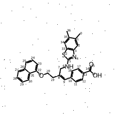 Cc1cc2nc(NCC(=Cc3ccc(C(=O)O)cc3)CCOc3cccc4ccccc34)sc2cc1C